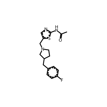 CC(=O)Nc1ncc(CN2CCC(Cc3ccc(F)cc3)C2)s1